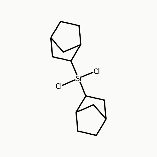 Cl[Si](Cl)(C1CC2CCC1C2)C1CC2CCC1C2